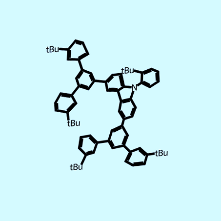 CC(C)(C)c1cccc(-c2cc(-c3cccc(C(C)(C)C)c3)cc(-c3ccc4c(c3)c3cc(-c5cc(-c6cccc(C(C)(C)C)c6)cc(-c6cccc(C(C)(C)C)c6)c5)ccc3n4-c3ccccc3C(C)(C)C)c2)c1